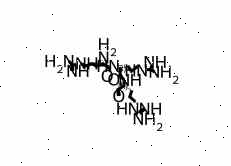 N=C(N)NCCC[C@@H](N)C(=O)N[C@H](CCCNC(=N)N)C(=O)N[C@@H](C=O)CCCNC(=N)N